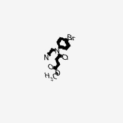 COC(=O)CCC(=O)N(CC#N)c1ccc(Br)cc1